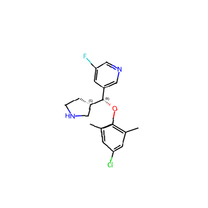 Cc1cc(Cl)cc(C)c1O[C@@H](c1cncc(F)c1)[C@H]1CCNC1